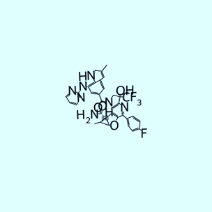 Cc1cnc2c(Nc3ncccn3)cc(C(=O)NCC(O)(c3cc4c(c(-c5ccc(F)cc5)n3)OC3C(C)[C@@]43C(N)=O)C(F)(F)F)cc2c1